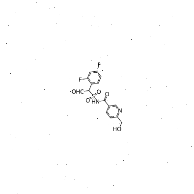 O=CC(c1ccc(F)cc1F)S(=O)(=O)NC(=O)c1ccc(CO)nc1